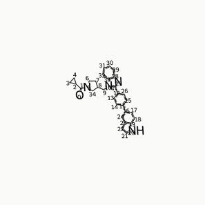 O=C(C1CC1)N1CCC(Cn2c(-c3ccc(-c4ccc5[nH]ccc5c4)cc3)nc3ccccc32)C1